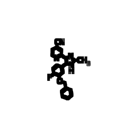 Cc1nc(-c2cc(C#N)ccn2)c(-c2ccc(F)c(OCc3ccccc3)c2)[nH]1